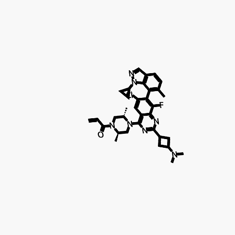 C=CC(=O)N1C[C@H](C)N(c2nc(C3CC(N(C)C)C3)nc3c(F)c(-c4c(C)ccc5cnn(C6CC6)c45)c(Cl)cc23)C[C@H]1C